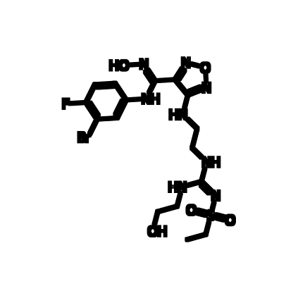 CCS(=O)(=O)/N=C(\NCCO)NCCNc1nonc1/C(=N/O)Nc1ccc(F)c(Br)c1